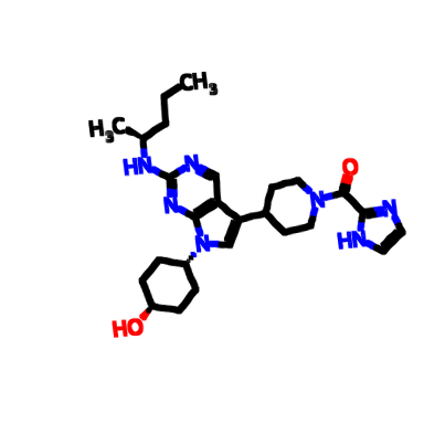 CCC[C@H](C)Nc1ncc2c(C3CCN(C(=O)c4ncc[nH]4)CC3)cn([C@H]3CC[C@H](O)CC3)c2n1